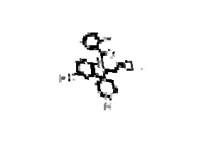 C=CCC1N(C(=O)c2ccccc2F)c2ccc(O)cc2C12CCNCC2